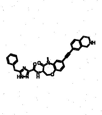 CN1C(=O)[C@H](NC(=O)c2n[nH]c(Cc3ccccc3)n2)COc2ccc(C#Cc3ccc4c(c3)CNCC4)cc21